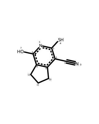 N#Cc1c(S)nc(O)c2c1CCC2